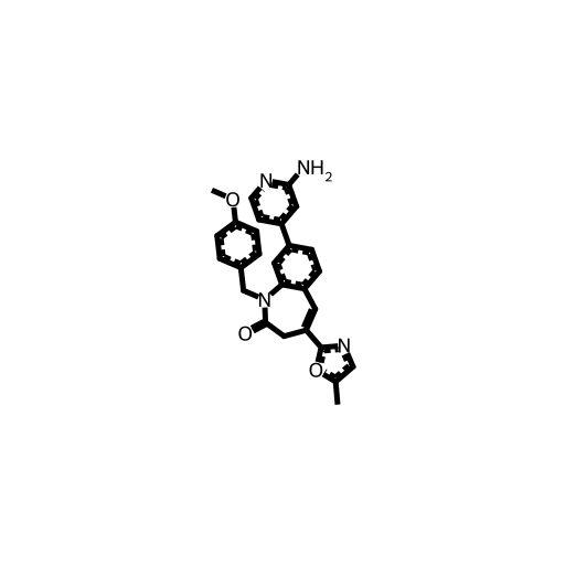 COc1ccc(CN2C(=O)CC(c3ncc(C)o3)=Cc3ccc(-c4ccnc(N)c4)cc32)cc1